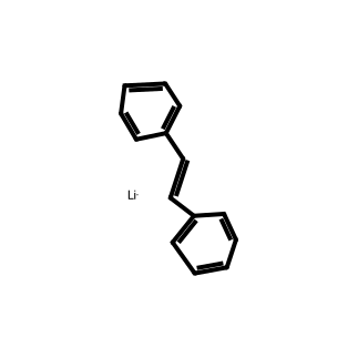 C(=Cc1ccccc1)c1ccccc1.[Li]